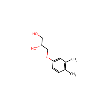 Cc1ccc(OC[C@H](O)CO)cc1C